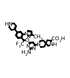 Cc1ccn(-c2cc(C3=CCNCC3)ccc2[C@@H](Oc2cc(N3CCC4(CC3)CNC(C(=O)O)C4)nc(N)n2)C(F)(F)F)n1